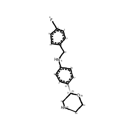 Fc1ccc(CNc2ccc([C@H]3CNCCO3)cc2)cc1